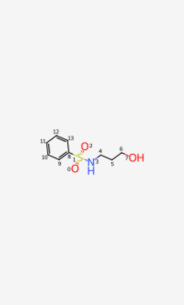 O=S(=O)(NCCCO)c1ccccc1